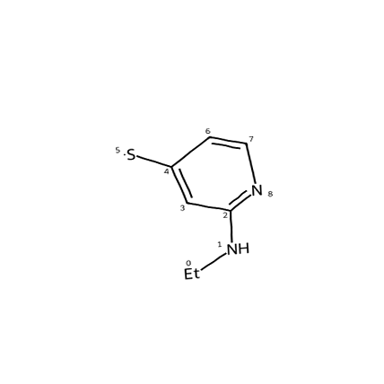 CCNc1cc([S])ccn1